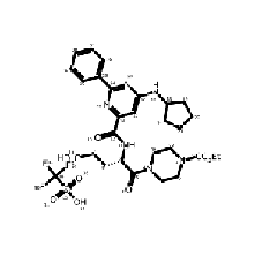 CCOC(=O)N1CCN(C(=O)[C@H](CCC(=O)O)NC(=O)c2cc(NC3CCCC3)nc(-c3ccccc3)n2)CC1.O=S(=O)(O)C(F)(F)F